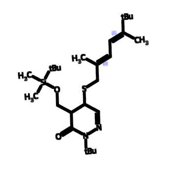 C/C(=C\C=C(/C)C(C)(C)C)CSC1C=NN(C(C)(C)C)C(=O)C1CO[Si](C)(C)C(C)(C)C